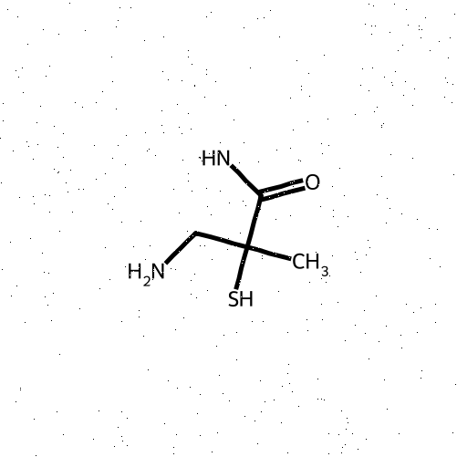 CC(S)(CN)C([NH])=O